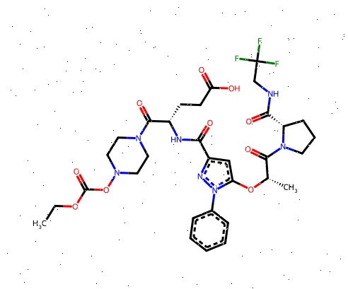 CCOC(=O)ON1CCN(C(=O)[C@H](CCC(=O)O)NC(=O)c2cc(O[C@@H](C)C(=O)N3CCC[C@H]3C(=O)NCC(F)(F)F)n(-c3ccccc3)n2)CC1